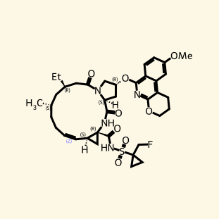 CC[C@H]1CC(=O)N2C[C@H](Oc3nc4c(c5cc(OC)ccc35)CCCO4)C[C@H]2C(=O)N[C@]2(C(=O)NS(=O)(=O)C3(CF)CC3)C[C@H]2/C=C\CC[C@H](C)C1